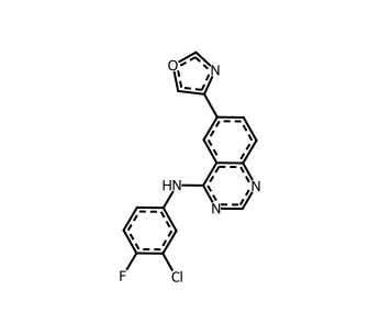 Fc1ccc(Nc2ncnc3ccc(-c4cocn4)cc23)cc1Cl